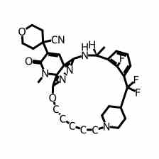 C[C@H]1Nc2nnc(c3c2cc(C2(C#N)CCOCC2)c(=O)n3C)OCCCCCN2CCC(CC2)C(F)(F)c2cccc1c2F